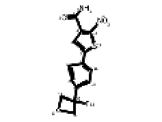 NC(=O)c1cc(-c2ccc(C3(F)COC3)cc2)sc1[N+](=O)[O-]